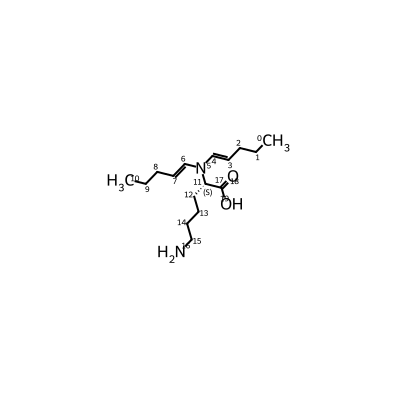 CCCC=CN(C=CCCC)[C@@H](CCCCN)C(=O)O